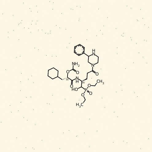 CCOP(=O)(OCC)C(O)[C@H](CCC(=O)N1CCNC(c2ccccc2)C1)NC(=O)[C@H](CC1CCCCC1)OC(N)=O